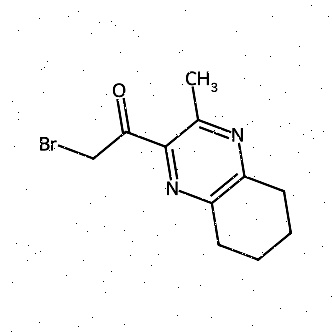 Cc1nc2c(nc1C(=O)CBr)CCCC2